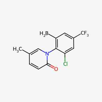 Bc1cc(C(F)(F)F)cc(Cl)c1-n1cc(C)ccc1=O